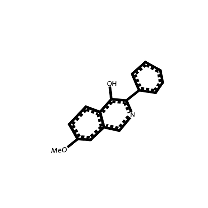 COc1ccc2c(O)c(-c3ccccc3)ncc2c1